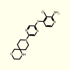 Nc1nccc(Sc2cnc(N3CCC4(CC3)COCCN4)cn2)c1Cl